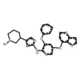 CC(=O)N1CCCC(c2csc(Nc3ncc(Sc4ccnc5ccsc45)cc3Oc3ccccc3)n2)C1